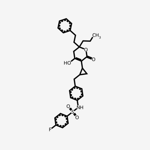 CCCC1(CCc2ccccc2)CC(O)=C(C2CC2Cc2ccc(NS(=O)(=O)c3ccc(F)cc3)cc2)C(=O)O1